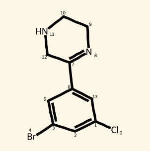 Clc1cc(Br)cc(C2=NCCNC2)c1